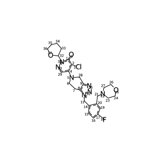 O=c1c(Cl)c(N2CCc3c(nnn3Cc3ccc(F)cc3CN3CCOCC3)C2)cnn1C1CCCCO1